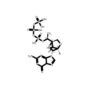 C[C@H](OP(=O)(O)OP(=O)(O)OP(=O)(O)O)[C@@]12CO[C@@H]([C@H](N3C=NC4C(=O)N=C(N)N=C43)O1)[C@@H]2O